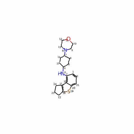 c1cc(NC2CCC(N3CCOCC3)CC2)c2c3c(sc2c1)CCC3